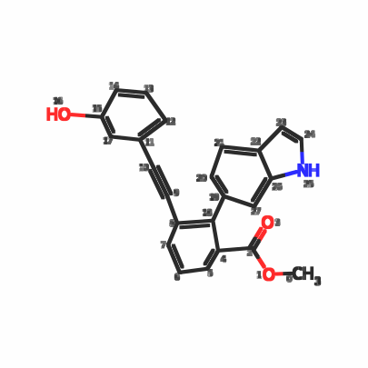 COC(=O)c1cccc(C#Cc2cccc(O)c2)c1-c1ccc2cc[nH]c2c1